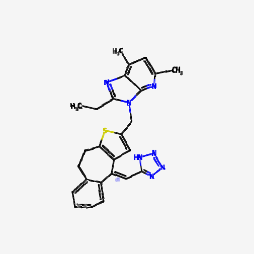 CCc1nc2c(C)cc(C)nc2n1Cc1cc2c(s1)CCc1ccccc1/C2=C/c1nnn[nH]1